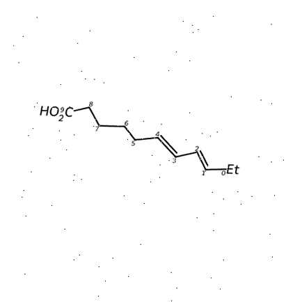 CC/C=C/C=C/CCCCC(=O)O